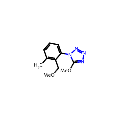 COCc1c(C)cccc1-n1nnnc1OC